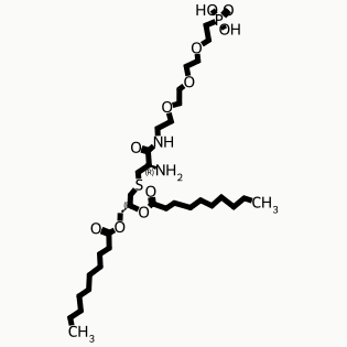 CCCCCCCCCC(=O)OC[C@H](CSC[C@H](N)C(=O)NCCOCCOCCOCCP(=O)(O)O)OC(=O)CCCCCCCCC